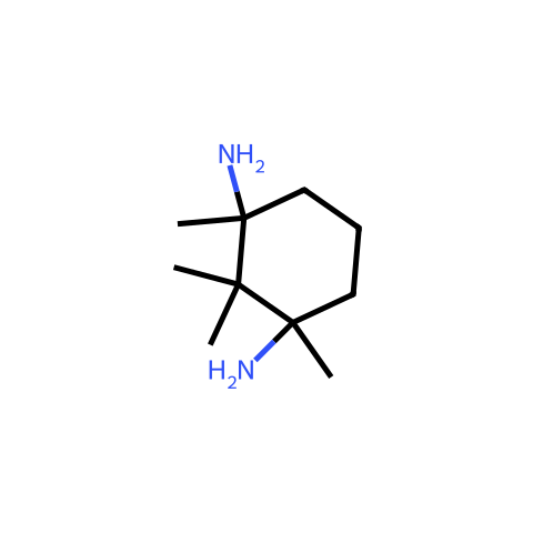 CC1(N)CCCC(C)(N)C1(C)C